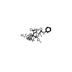 C[SiH](C)O[C@](C)([C@H]1C(=O)N[C@@H]1CC(=O)Sc1ccccc1)C(C)(C)C